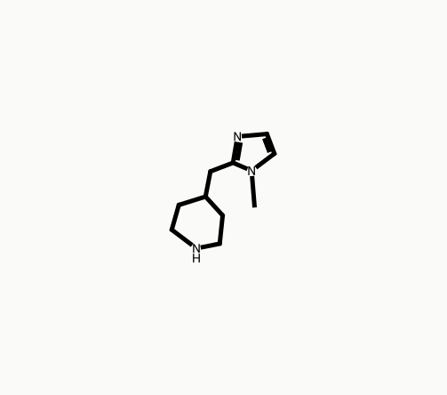 Cn1ccnc1CC1CCNCC1